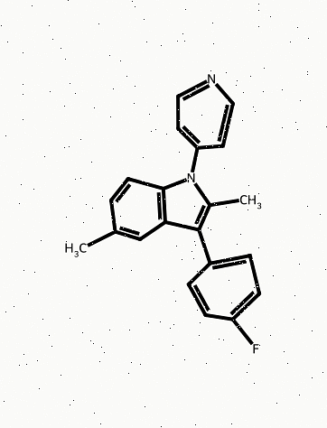 Cc1ccc2c(c1)c(-c1ccc(F)cc1)c(C)n2-c1ccncc1